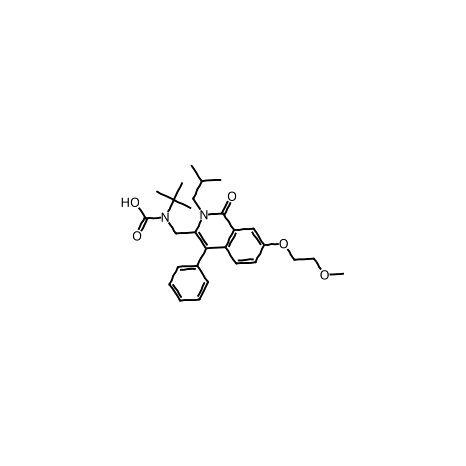 COCCOc1ccc2c(-c3ccccc3)c(CN(C(=O)O)C(C)(C)C)n(CC(C)C)c(=O)c2c1